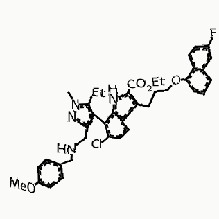 CCOC(=O)c1[nH]c2c(-c3c(CNCc4ccc(OC)cc4)nn(C)c3CC)c(Cl)ccc2c1CCCOc1cccc2cc(F)ccc12